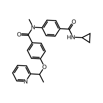 CC(Oc1ccc(C(=O)N(C)c2ccc(C(=O)NC3CC3)cc2)cc1)c1ccccn1